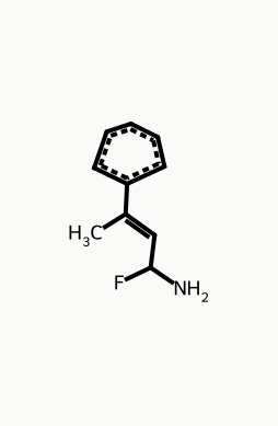 CC(=CC(N)F)c1ccccc1